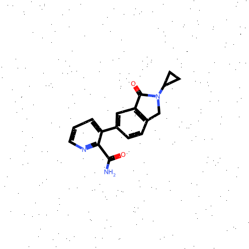 NC(=O)c1ncccc1-c1ccc2c(c1)C(=O)N(C1CC1)C2